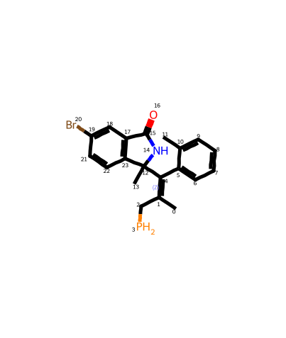 C/C(CP)=C(\c1ccccc1C)C1(C)NC(=O)c2cc(Br)ccc21